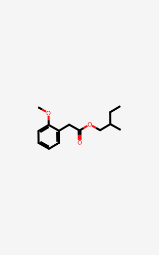 CCC(C)COC(=O)Cc1ccccc1OC